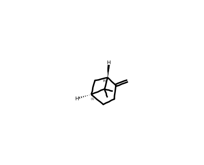 C=C1CC[C@H]2C[C@H]1C2(C)C